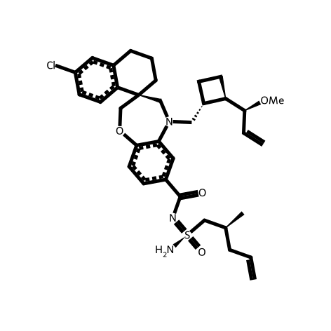 C=CC[C@H](C)C[S@](N)(=O)=NC(=O)c1ccc2c(c1)N(C[C@@H]1CC[C@H]1[C@H](C=C)OC)C[C@@]1(CCCc3cc(Cl)ccc31)CO2